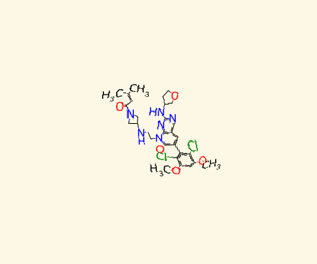 COc1cc(OC)c(Cl)c(-c2cc3cnc(NC4CCOC4)nc3n(CCNC3CN(C(=O)C=C(C)C)C3)c2=O)c1Cl